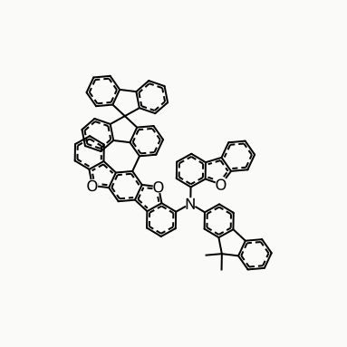 CC1(C)c2ccccc2-c2ccc(N(c3cccc4c3oc3ccccc34)c3cccc4c3oc3c(-c5cccc6c5-c5ccccc5C65c6ccccc6-c6ccccc65)c5c(cc34)oc3ccccc35)cc21